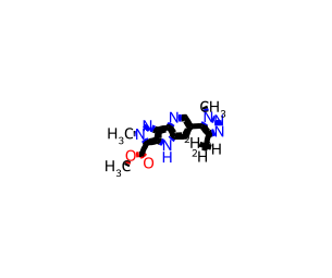 [2H]C([2H])([2H])c1nnn(C)c1-c1cnc2c(c1)[nH]c1c(C(=O)OC)n(C)nc12